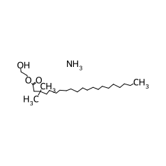 CCCCCCCCCCCCCCCCCCC(C)(C)CC(=O)OCCO.N